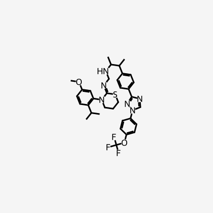 COc1ccc(C(C)C)c(N2CCCS/C2=N\CNC(C)C(C)c2ccc(-c3ncn(-c4ccc(OC(F)(F)F)cc4)n3)cc2)c1